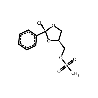 CS(=O)(=O)OC[C@@H]1CO[C@@](Cl)(c2ccccc2)O1